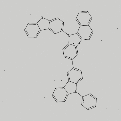 c1ccc(-n2c3ccccc3c3cc(-c4ccc5c(c4)c4ccc6ccccc6c4n5-c4ccc5sc6ccccc6c5c4)ccc32)cc1